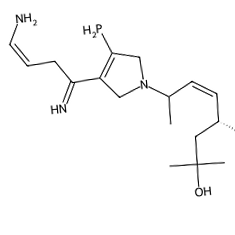 CC(/C=C\[C@H](C)CC(C)(C)O)N1CC(P)=C(C(=N)C/C=C\N)C1